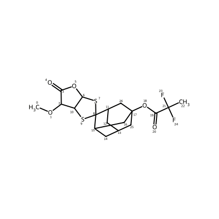 COC1C(=O)OC2SC3(SC21)C1CC2CC3CC(OC(=O)C(C)(F)F)(C2)C1